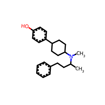 CC(CCc1ccccc1)N(C)C1CCC(c2ccc(O)cc2)CC1